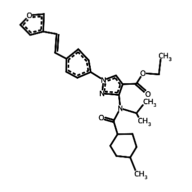 CCOC(=O)c1cn(-c2ccc(C=Cc3ccoc3)cc2)nc1N(C(=O)C1CCC(C)CC1)C(C)C